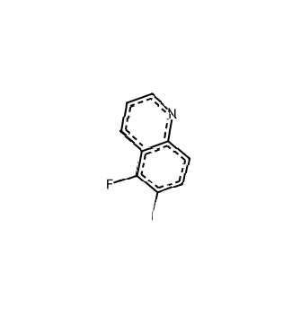 Fc1c(I)ccc2ncccc12